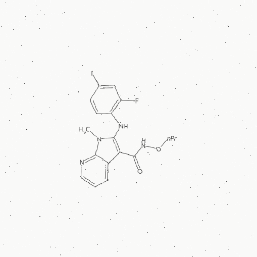 CCCONC(=O)c1c(Nc2ccc(I)cc2F)n(C)c2ncccc12